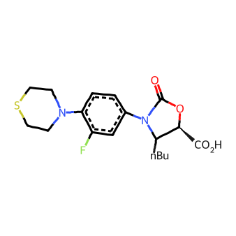 CCCCC1[C@H](C(=O)O)OC(=O)N1c1ccc(N2CCSCC2)c(F)c1